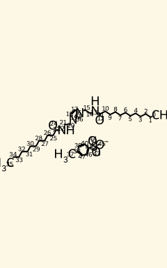 CCCCCCCCCCCC(=O)NCCn1cc[n+](CCNC(=O)CCCCCCCCCCC)c1.Cc1ccc(S(=O)(=O)[O-])cc1